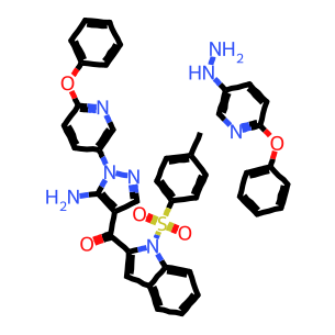 Cc1ccc(S(=O)(=O)n2c(C(=O)c3cnn(-c4ccc(Oc5ccccc5)nc4)c3N)cc3ccccc32)cc1.NNc1ccc(Oc2ccccc2)nc1